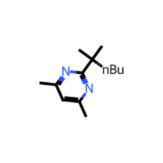 CCCCC(C)(C)c1nc(C)cc(C)n1